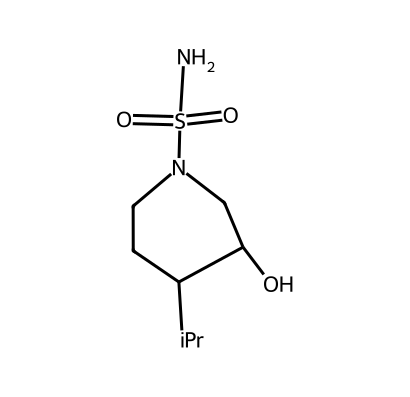 CC(C)C1CCN(S(N)(=O)=O)CC1O